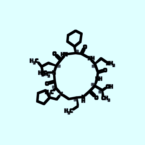 CC[C@@H]1CN(CC2CCCC2)[C@@H](C)C(=O)N(C)[C@@H](CC(C)C)C(=O)N[C@@H](C2CCCCC2)C(=O)N[C@@H](CN)C(=O)N[C@@H]([C@H](C)O)C(=O)N1